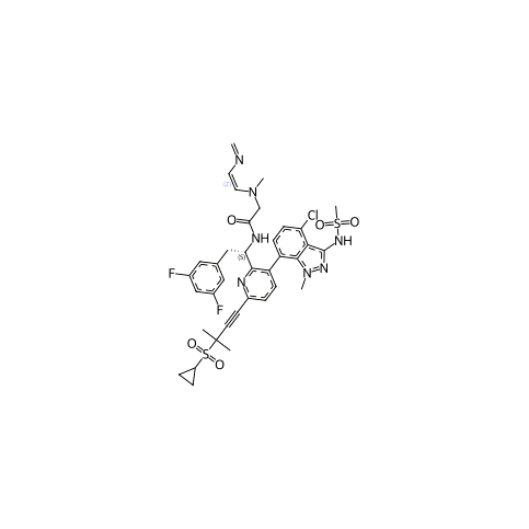 C=N/C=C\N(C)CC(=O)N[C@@H](Cc1cc(F)cc(F)c1)c1nc(C#CC(C)(C)S(=O)(=O)C2CC2)ccc1-c1ccc(Cl)c2c(NS(C)(=O)=O)nn(C)c12